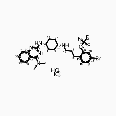 CN(C)c1nc(N[C@H]2CC[C@@H](NCCCc3ccc(Br)cc3OC(F)(F)F)CC2)nc2ccccc12.Cl.Cl